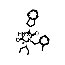 CCC(CC)[C@@H]1C(=O)N[C@H](C2Cc3ccccc3C2)C(=O)N1Cc1ccccc1C